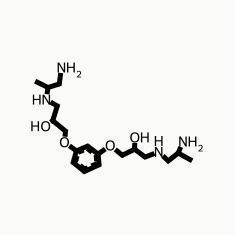 CC(N)CNCC(O)COc1cccc(OCC(O)CNC(C)CN)c1